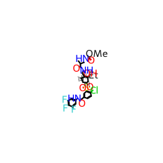 CCC1C[C@@H](S(=O)(=O)c2cc(C(=O)Nc3cc(F)c(F)c(F)c3)ccc2Cl)C[C@H](C)[C@@]1(O)CNC(=O)C(C)CNC(=O)OC